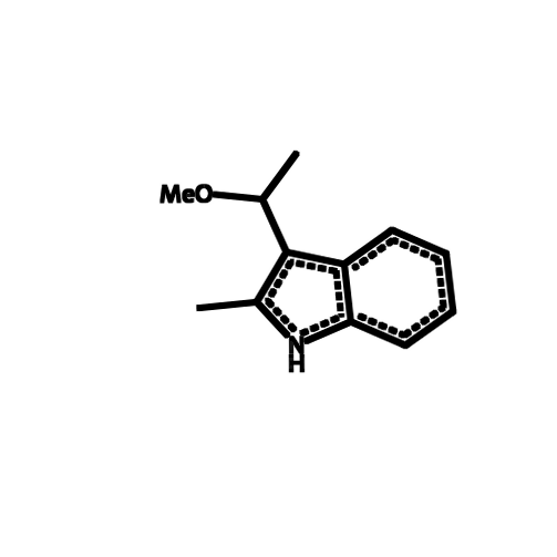 COC(C)c1c(C)[nH]c2ccccc12